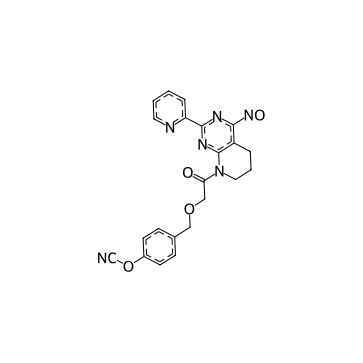 N#COc1ccc(COCC(=O)N2CCCc3c(N=O)nc(-c4ccccn4)nc32)cc1